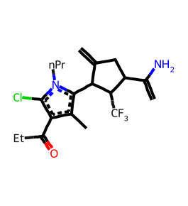 C=C(N)C1CC(=C)C(c2c(C)c(C(=O)CC)c(Cl)n2CCC)C1C(F)(F)F